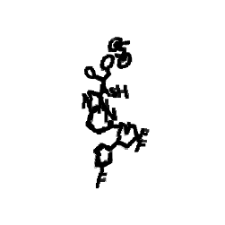 CS(=O)(=O)OCC(=O)[AsH]c1cnc2ccc(N3CC(F)(F)CC3c3cccc(F)c3)nn12